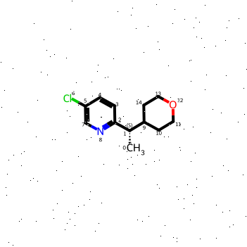 C[C@H](c1ccc(Cl)cn1)C1CCOCC1